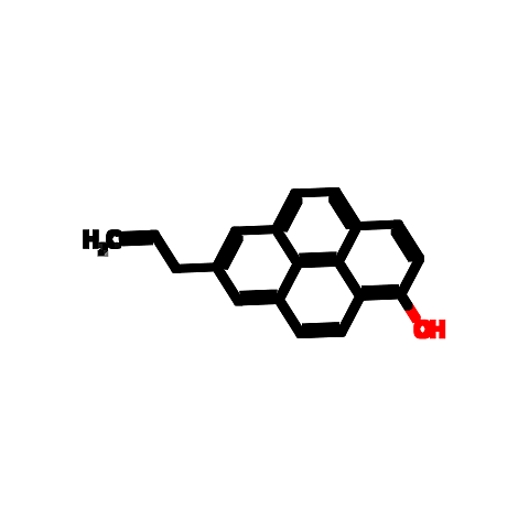 C=CCc1cc2ccc3ccc(O)c4ccc(c1)c2c34